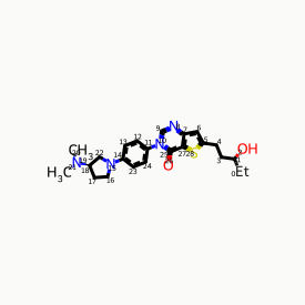 CCC(O)CCc1cc2ncn(-c3ccc(N4CC[C@@H](N(C)C)C4)cc3)c(=O)c2s1